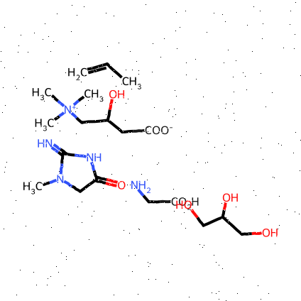 C=CC.CN1CC(=O)NC1=N.C[N+](C)(C)CC(O)CC(=O)[O-].NCC(=O)O.OCC(O)CO